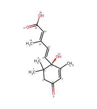 CC1=CC(=O)CC(C)(C)[C@]1(O)/C=C/C(C)=C/C(=O)O